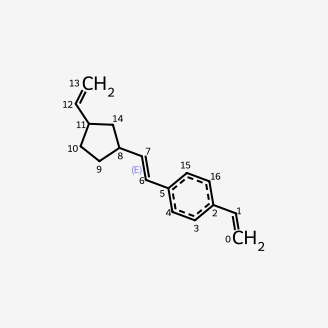 C=Cc1ccc(/C=C/C2CCC(C=C)C2)cc1